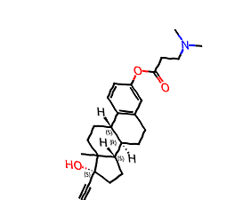 C#C[C@]1(O)CC[C@H]2[C@@H]3CCc4cc(OC(=O)CCN(C)C)ccc4[C@H]3CCC21C